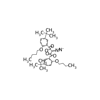 CCCCOc1ccc(C(C)(C)C)cc1S(=O)(=O)C(=[N+]=[N-])S(=O)(=O)c1cc(C(C)(C)C)ccc1OCCCC